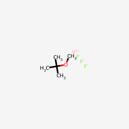 COC(C)(C)C.[B+3].[F-].[F-].[F-]